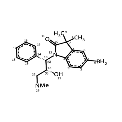 Bc1ccc2c(c1)C(C)(C)C(=O)N2[C@@H](c1ccccc1)[C@H](O)CNC